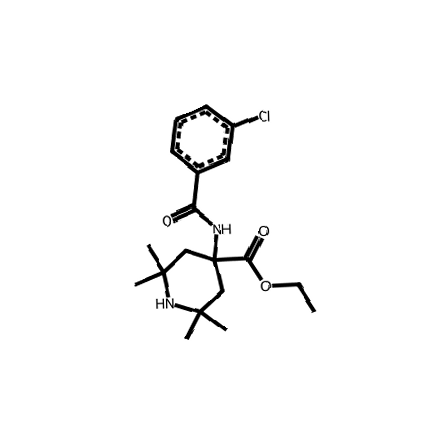 CCOC(=O)C1(NC(=O)c2cccc(Cl)c2)CC(C)(C)NC(C)(C)C1